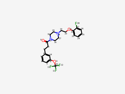 O=C(CCc1cccc(OC(F)(F)F)c1)N1CCN(CCOc2ccccc2F)CC1